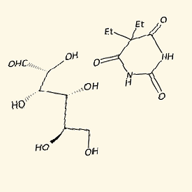 CCC1(CC)C(=O)NC(=O)NC1=O.O=C[C@H](O)[C@@H](O)[C@H](O)[C@H](O)CO